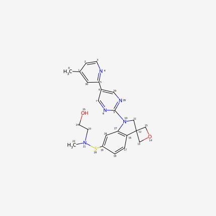 Cc1ccnc(-c2cnc(N3CC4(COC4)c4ccc(SN(C)CCO)cc43)nc2)c1